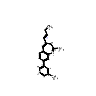 CC/C=C/C1=Cc2ccc(-c3cncc(C)c3)cc2N=C(N)C1